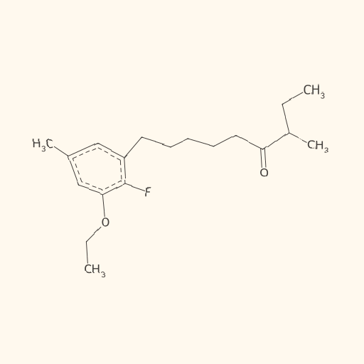 CCOc1cc(C)cc(CCCCCC(=O)C(C)CC)c1F